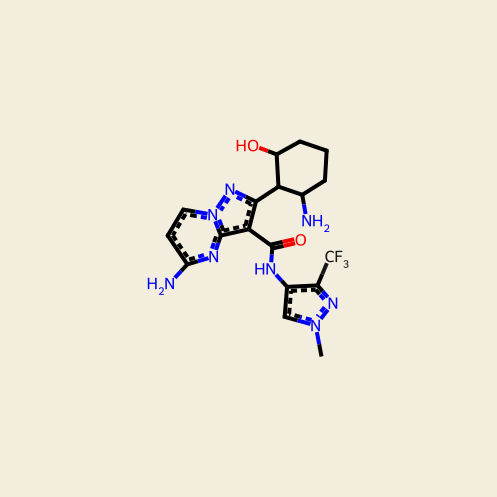 Cn1cc(NC(=O)c2c(C3C(N)CCCC3O)nn3ccc(N)nc23)c(C(F)(F)F)n1